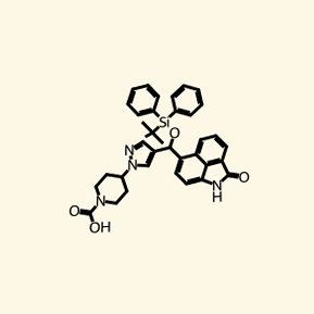 CC(C)(C)[Si](OC(c1cnn(C2CCN(C(=O)O)CC2)c1)c1ccc2c3c(cccc13)C(=O)N2)(c1ccccc1)c1ccccc1